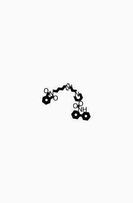 C[N+](C)(CCCCCN1C(=O)c2ccccc2C1=O)CCCN1CCC(OC(=O)Nc2ccccc2-c2ccccc2)CC1